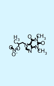 CC(Cn1cnc2c1c(=O)n(C)c(=O)n2C)O[N+](=O)[O-]